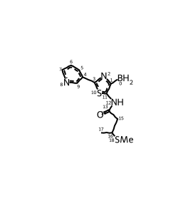 Bc1nc(-c2cccnc2)sc1NC(=O)CC(C)SC